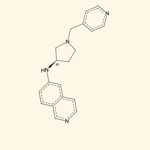 c1cc(CN2CC[C@@H](Nc3ccc4cnccc4c3)C2)ccn1